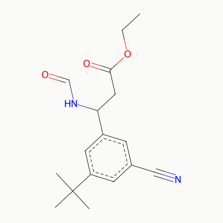 CCOC(=O)CC(NC=O)c1cc(C#N)cc(C(C)(C)C)c1